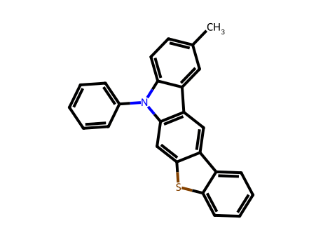 Cc1ccc2c(c1)c1cc3c(cc1n2-c1ccccc1)sc1ccccc13